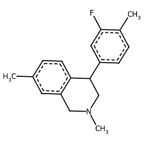 Cc1ccc2c(c1)CN(C)CC2c1ccc(C)c(F)c1